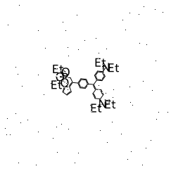 CCOP(=O)(CC(=C1C=CC=C1)c1ccc(C(=C2C=CC(=[N+](CC)CC)C=C2)c2ccc(N(CC)CC)cc2)cc1)OCC